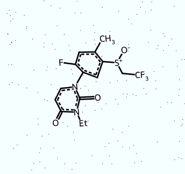 CCn1c(=O)ccn(-c2cc([S+]([O-])CC(F)(F)F)c(C)cc2F)c1=O